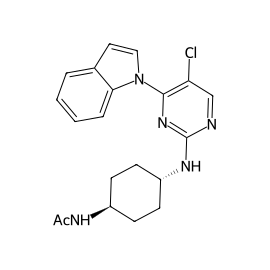 CC(=O)N[C@H]1CC[C@H](Nc2ncc(Cl)c(-n3ccc4ccccc43)n2)CC1